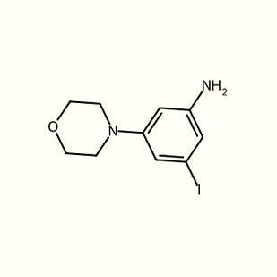 Nc1cc(I)cc(N2CCOCC2)c1